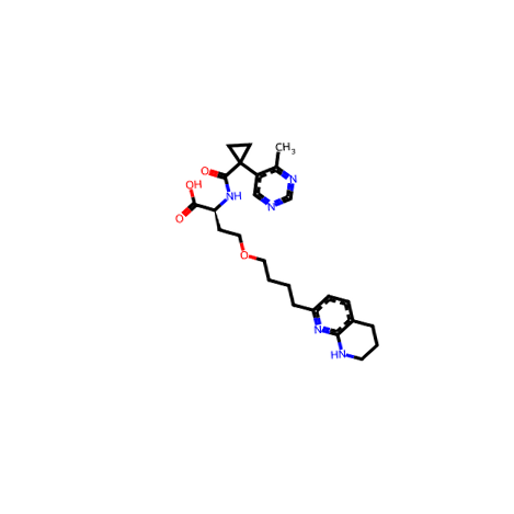 Cc1ncncc1C1(C(=O)N[C@@H](CCOCCCCc2ccc3c(n2)NCCC3)C(=O)O)CC1